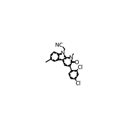 Cc1ccc2c(c1)c1cc(-c3ccc(Cl)cc3Cl)c(=O)n(C)c1n2CC#N